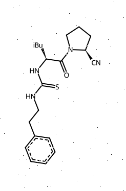 CCC(C)[C@H](NC(=S)NCCc1ccccc1)C(=O)N1CCC[C@H]1C#N